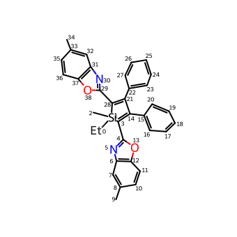 CC[Si]1(C)C(c2nc3cc(C)ccc3o2)=C(c2ccccc2)C(c2ccccc2)=C1c1nc2cc(C)ccc2o1